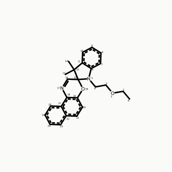 CCOCCN1c2ccccc2C(C)(C)C12C=Nc1c(ccc3ccccc13)O2